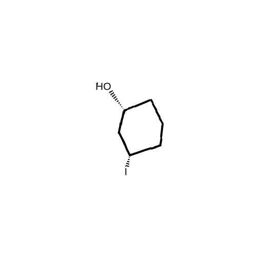 O[C@@H]1CCC[C@H](I)C1